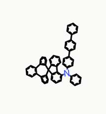 c1ccc(-c2ccc(-c3ccc(N(c4ccccc4)c4cccc5c4-c4ccccc4C54c5ccccc5-c5ccccc5-c5ccccc54)cc3)cc2)cc1